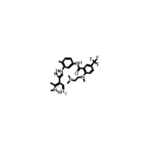 C=C/C(=C(/C)N(C)N)c1cn(-c2cc(NC(=O)c3cc(C(F)(F)F)ccc3N(C)CCN(C)C)ccc2C)nn1